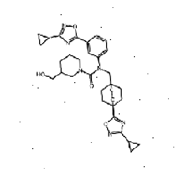 O=C(N1CCCC(CO)C1)N(CC12CCC(c3nc(C4CC4)no3)(CC1)CC2)c1cccc(-c2nc(C3CC3)no2)c1